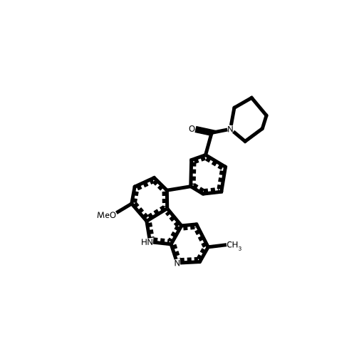 COc1ccc(-c2cccc(C(=O)N3CCCCC3)c2)c2c1[nH]c1ncc(C)cc12